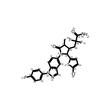 CC1C(=O)N(c2ccc3c(cnn3-c3ccc(F)cc3)c2)C(c2ccc(Cl)s2)C1CC(F)(F)C(N)=O